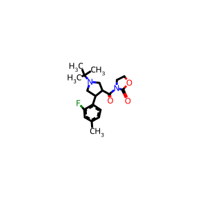 Cc1ccc(C2CN(C(C)(C)C)CC2C(=O)N2CCOC2=O)c(F)c1